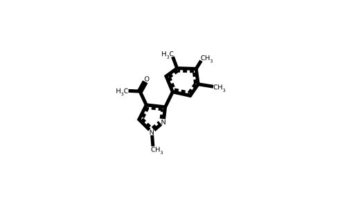 CC(=O)c1cn(C)nc1-c1cc(C)c(C)c(C)c1